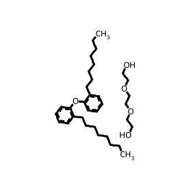 CCCCCCCCc1ccccc1Oc1ccccc1CCCCCCCC.OCCOCCOCCO